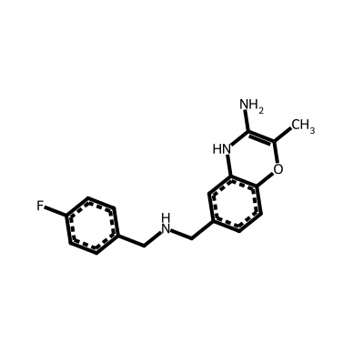 CC1=C(N)Nc2cc(CNCc3ccc(F)cc3)ccc2O1